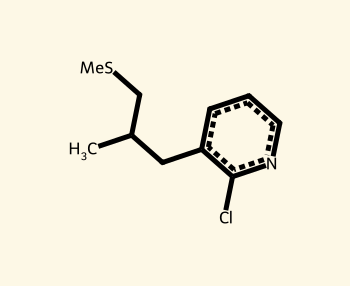 CSCC(C)Cc1cccnc1Cl